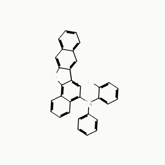 Cc1ccccc1N(c1ccccc1)c1cc2c3cc4ccccc4cc3oc2c2ccccc12